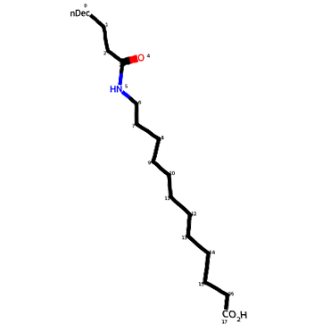 CCCCCCCCCCCCC(=O)NCCCCCCCCCCCC(=O)O